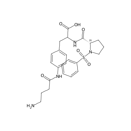 NCCCC(=O)Nc1ccc(CC(NC(=O)[C@@H]2CCCN2S(=O)(=O)c2ccccc2)C(=O)O)cc1